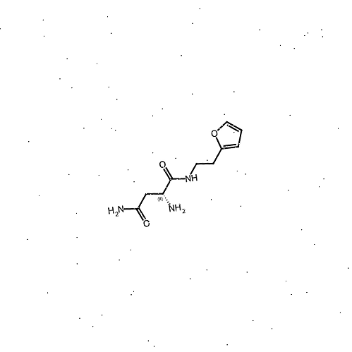 NC(=O)C[C@@H](N)C(=O)NCCc1ccco1